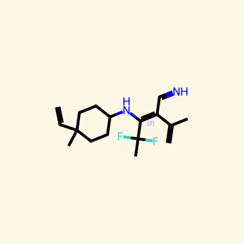 C=CC1(C)CCC(N/C(=C(\C=N)C(=C)C)C(C)(F)F)CC1